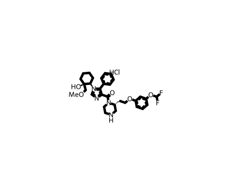 COC[C@]1(O)CCCC[C@H]1n1cnc(C(=O)N2CCNC[C@H]2CCOc2cccc(OC(F)F)c2)c1-c1ccccc1.Cl